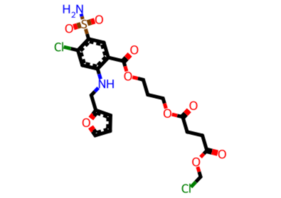 NS(=O)(=O)c1cc(C(=O)OCCCOC(=O)CCC(=O)OCCl)c(NCc2ccco2)cc1Cl